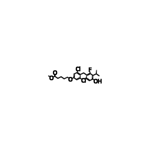 COC(=O)CCCCOc1cc(Cl)c(Cc2ccc(O)c(C(C)C)c2F)c(Cl)c1